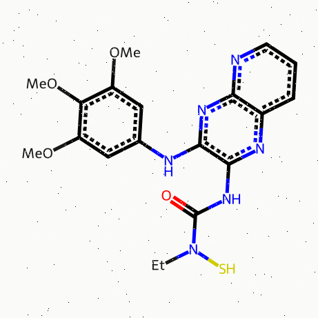 CCN(S)C(=O)Nc1nc2cccnc2nc1Nc1cc(OC)c(OC)c(OC)c1